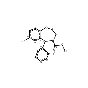 O=C(CCl)N1CCOc2ccc(I)cc2C1c1ccccc1